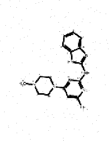 Cc1cc(N2CCN(C)CC2)nc(Nc2nc3ccccc3[nH]2)n1